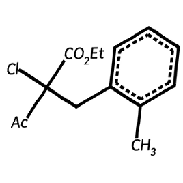 CCOC(=O)C(Cl)(Cc1ccccc1C)C(C)=O